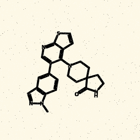 Cn1ncc2cc(-c3cnc4sccc4c3N3CCC4(CCNC4=O)CC3)ccc21